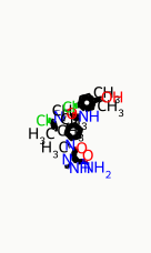 CC(C)=C(Cl)N(C)C.CN(C(=O)c1nc[nH]c1C(N)=O)[C@H]1CC[C@H](C(=O)Nc2cc(C(C)(C)O)ccc2Cl)CC1